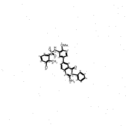 COc1ncc(-c2ccc3nc(N)n(-c4ccccc4)c(=O)c3c2)cc1NS(=O)(=O)c1cccc(Cl)c1C